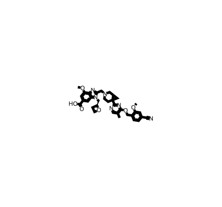 COc1cc(C#N)ccc1COc1nc(C23CCN(Cc4nc5c(OC)cc(C(=O)O)cc5n4C[C@@H]4CCO4)CC2C3)ncc1C